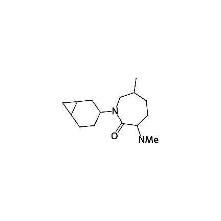 CNC1CCC(C)CN(C2CCC3CC3C2)C1=O